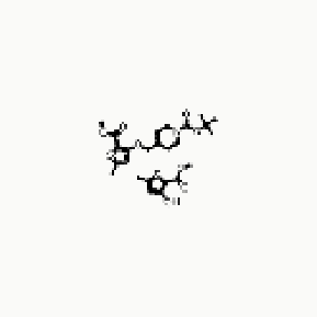 COC(=O)c1sc(C)cc1O.COC(=O)c1sc(C)cc1OCC1CCN(C(=O)OC(C)(C)C)CC1